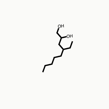 CCCCC[C](CC)CC(O)CO